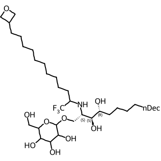 CCCCCCCCCCCCCC[C@@H](O)[C@@H](O)[C@H](COC1OC(CO)C(O)C(O)C1O)NC(CCCCCCCCCCC1COC1)C(F)(F)F